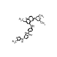 CCc1cc(Nc2ccc(-c3nc4cc(Nc5ccnc(C)c5)ccc4n3I)cc2)c2cc(N3CC(C)OC(C)C3)ccc2n1